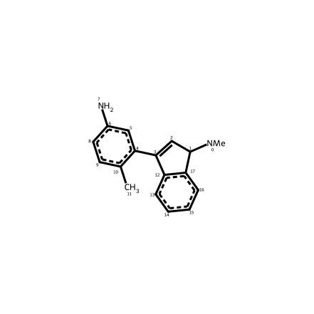 CNC1C=C(c2cc(N)ccc2C)c2ccccc21